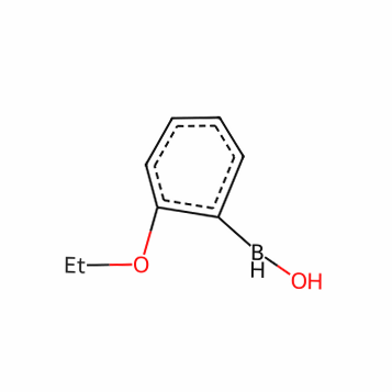 CCOc1ccccc1BO